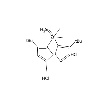 CC1=CC(C(C)(C)C)=[C]([Zr]([CH3])([CH3])(=[SiH2])[C]2=C(C(C)(C)C)C=C(C)C2)C1.Cl.Cl